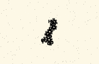 COC(=O)CC(c1ccc2c(c1)OCO2)N1CCc2cc(Oc3cccc4c3nc3n4CCCN3)ccc2C1=O